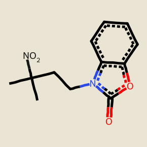 CC(C)(CCn1c(=O)oc2ccccc21)[N+](=O)[O-]